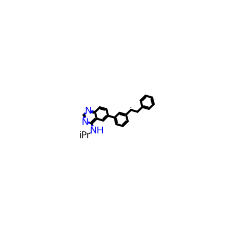 CC(C)Nc1ncnc2ccc(-c3cccc([CH]Cc4ccccc4)c3)cc12